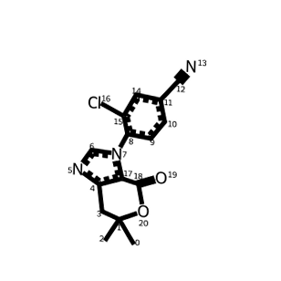 CC1(C)Cc2ncn(-c3ccc(C#N)cc3Cl)c2C(=O)O1